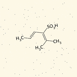 CC=CC(=C(C)C)S(=O)(=O)O